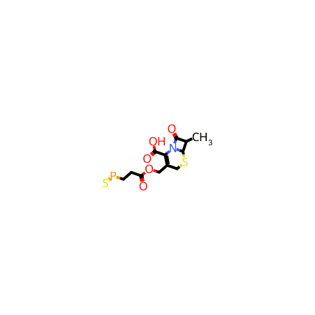 CC1C(=O)N2C(C(=O)O)=C(COC(=O)CCP=S)CSC12